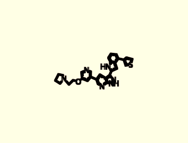 c1cc(-c2ccsc2)c2cc(-c3n[nH]c4ncc(-c5cncc(OCCN6CCCC6)c5)cc34)[nH]c2c1